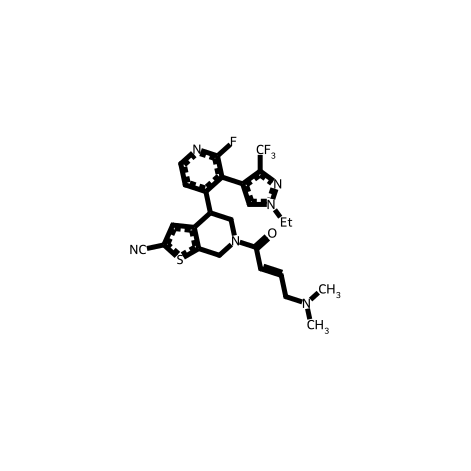 CCn1cc(-c2c(C3CN(C(=O)/C=C/CN(C)C)Cc4sc(C#N)cc43)ccnc2F)c(C(F)(F)F)n1